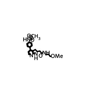 COCCCNC(=O)CC1Cc2c(-c3ccc(NS(C)(=O)=O)cc3)ccnc2N1